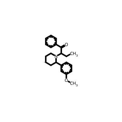 CCC(C(=O)c1ccccc1)N1CC[CH]CC1c1cccc(OC)c1